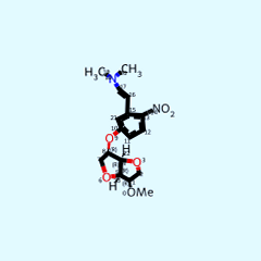 CO[C@@H]1CO[C@H]2[C@@H]1OC[C@H]2Oc1ccc([N+](=O)[O-])c(C=CN(C)C)c1